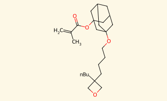 C=C(C)C(=O)OC12CC3CC(CC(OCCCCC4(CCCC)COC4)(C3)C1)C2